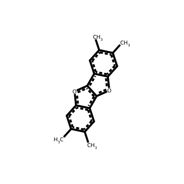 Cc1cc2oc3c4cc(C)c(C)cc4oc3c2cc1C